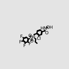 CCCN(Cc1ccc(C(=O)NO)cc1Cl)S(=O)(=O)c1cc(F)c(F)c(F)c1F